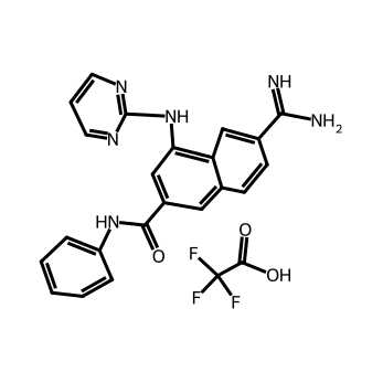 N=C(N)c1ccc2cc(C(=O)Nc3ccccc3)cc(Nc3ncccn3)c2c1.O=C(O)C(F)(F)F